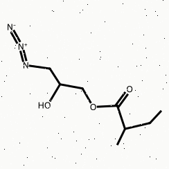 CCC(C)C(=O)OCC(O)CN=[N+]=[N-]